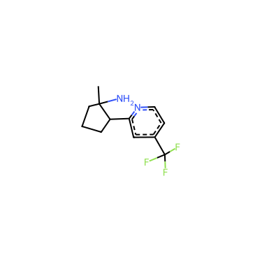 CC1(N)CCCC1c1cc(C(F)(F)F)ccn1